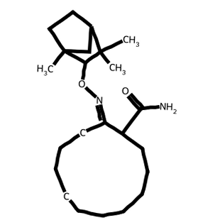 CC12CCC(C1)C(C)(C)C2ON=C1CCCCCCCCCCC1C(N)=O